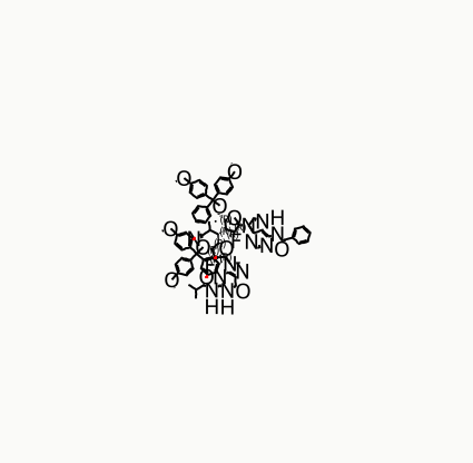 [CH2]C(C#N)C([C@H]1[C@@H](F)[C@H](n2cnc3c(NC(=O)c4ccccc4)ncnc32)O[C@H]1COC(c1ccccc1)(c1ccc(OC)cc1)c1ccc(OC)cc1)[C@H]1O[C@@H](n2cnc3c(=O)[nH]c(NC(=O)C(C)C)nc32)[C@H](F)[C@@H]1OC(c1ccccc1)(c1ccc(OC)cc1)c1ccc(OC)cc1